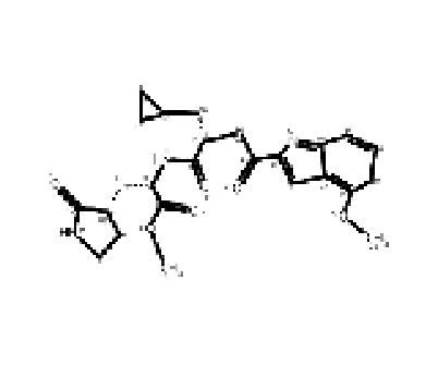 COC(=O)[C@H](C[C@@H]1CCNC1=O)NC(=O)[C@H](CC1CC1)NC(=O)C1=CC2=C(OC)CC=CC2=N1